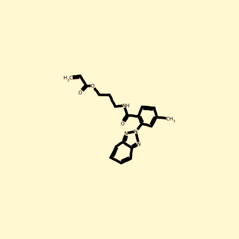 C=CC(=O)OCCCNC(=O)c1ccc(C)cc1-n1nc2ccccc2n1